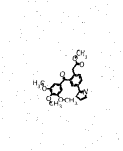 COC(=O)Cc1ccc(C2=NC=CC2)cc1C(=O)c1cc(OC)c(OC)c(OC)c1